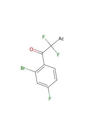 CC(=O)C(F)(F)C(=O)c1ccc(F)cc1Br